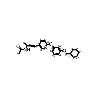 CC(=O)NC(C)C#Cc1ccc(Oc2cccc(OCC3CCCCC3)c2)nc1